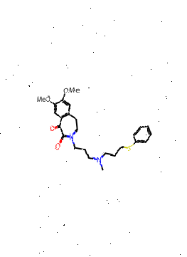 COc1cc2c(cc1OC)C(=O)C(=O)N(CCCN(C)CCCSc1ccccc1)CC2